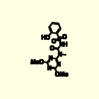 COc1nc(OC)nc(N(C)C(=O)NS(=O)(=O)c2ccccc2O)n1